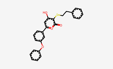 O=c1oc(-c2cccc(Oc3ccccc3)c2)cc(O)c1SCCc1ccccc1